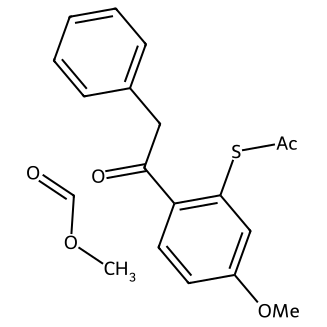 COC=O.COc1ccc(C(=O)Cc2ccccc2)c(SC(C)=O)c1